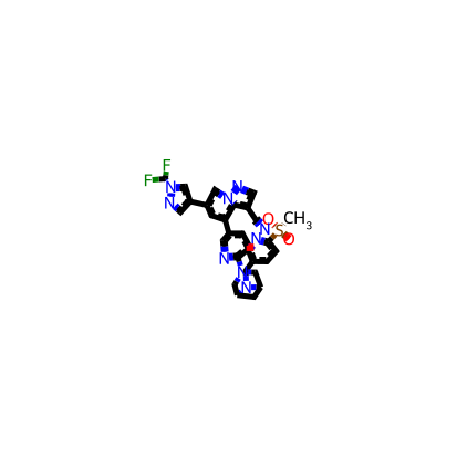 CS(=O)(=O)c1ccc(CN2C3CC2CN(c2ccc(-c4cc(-c5cnn(C(F)F)c5)cn5ncc(C#N)c45)cn2)C3)cn1